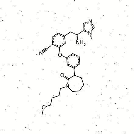 COCCCCN1CCCCC(c2cccc(Oc3cc(CC(N)c4cncn4C)ccc3C#N)c2)C1=O